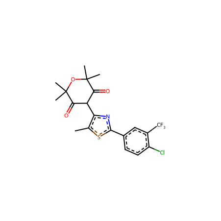 Cc1sc(-c2ccc(Cl)c(C(F)(F)F)c2)nc1C1C(=O)C(C)(C)OC(C)(C)C1=O